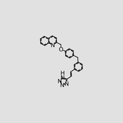 C(=C\c1nnn[nH]1)/c1cccc(Cc2ccc(OCc3ccc4ccccc4n3)cc2)c1